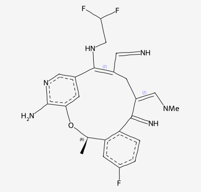 CN/C=C1/C/C(C=N)=C(/NCC(F)F)c2cnc(N)c(c2)O[C@H](C)c2cc(F)ccc2C1=N